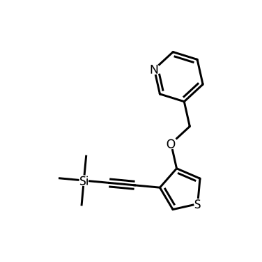 C[Si](C)(C)C#Cc1cscc1OCc1cccnc1